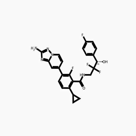 Nc1nc2cc(-c3ccc(C4CC4)c(C(=O)NCC(F)(F)[C@@H](O)c4ccc(F)cc4)c3F)ccn2n1